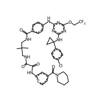 CC(C)(CNC(=O)C(=O)Nc1cccc(C(=O)N2CCCCC2)c1)CNC(=O)c1ccc(Nc2nc(NC3(c4ccc(Cl)cc4)CC3)nc(OCC(F)(F)F)n2)cc1